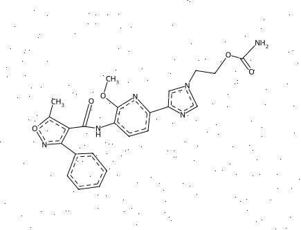 COc1nc(-c2cn(CCOC(N)=O)cn2)ccc1NC(=O)c1c(-c2ccccc2)noc1C